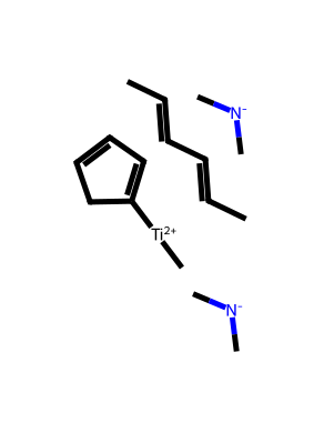 CC=CC=CC.C[N-]C.C[N-]C.[CH3][Ti+2][C]1=CC=CC1